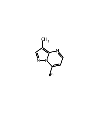 Cc1cnn2c(C(C)C)ccnc12